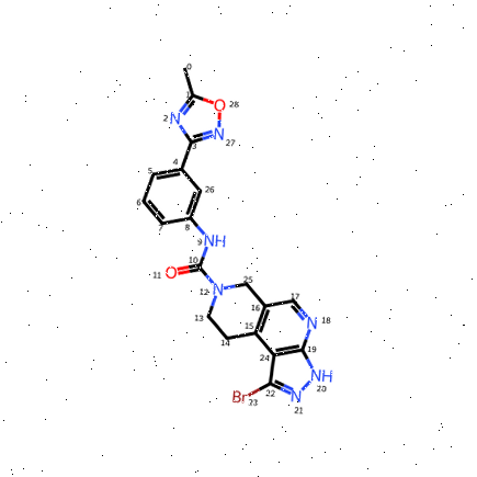 Cc1nc(-c2cccc(NC(=O)N3CCc4c(cnc5[nH]nc(Br)c45)C3)c2)no1